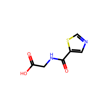 O=C(O)CNC(=O)c1cn[c]s1